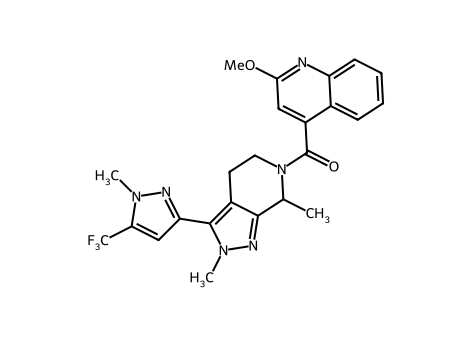 COc1cc(C(=O)N2CCc3c(nn(C)c3-c3cc(C(F)(F)F)n(C)n3)C2C)c2ccccc2n1